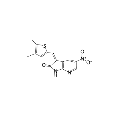 Cc1cc(C=C2C(=O)Nc3ncc([N+](=O)[O-])cc32)sc1C